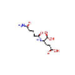 NC(=O)CCCC(=O)NC(CCC(=O)O)C(=O)O